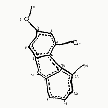 COc1cc(Cl)c2c(c1)sc1cccc(C)c12